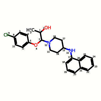 CC(O)C(Oc1ccc(Cl)cc1)N1CCC(Nc2cccc3ccccc23)CC1